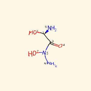 N[C@H](O)C(=O)N(N)O